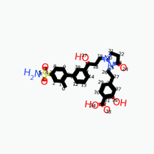 Cc1cc(S(N)(=O)=O)ccc1-c1cccc(C(O)CCN2CCC(=O)N2CCc2ccc(C(=O)O)c(O)c2)c1